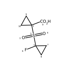 O=C(O)C1(S(=O)(=O)C2(F)CC2)CC1